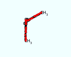 CCCCCCCCCCCCCCCCCCCCOC(=O)OC[C@H](CO)OC(=O)OCCCCCCCCCCCCCCCCCCCC